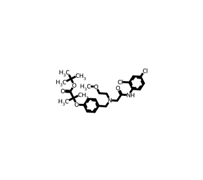 COCCN(CC(=O)Nc1ccc(Cl)cc1Cl)Cc1ccc(OC(C)(C)C(=O)OC(C)(C)C)cc1